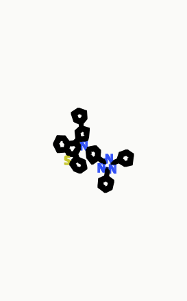 c1ccc(-c2ccc3c(c2)c2c4ccccc4c4sc5ccccc5c4c2n3-c2ccc(-c3nc(-c4ccccc4)nc(-c4ccccc4)n3)cc2)cc1